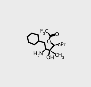 CCC[C@H](OC(=O)C(F)(F)F)[C@](C)(O)[C@@H](N)CC1CCCCC1